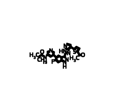 CC(=O)c1ccc(-c2ccnc3[nH]c(-c4n[nH]c5cc(F)c(-c6cncc(NC(=O)C(C)C)c6)cc45)nc23)s1